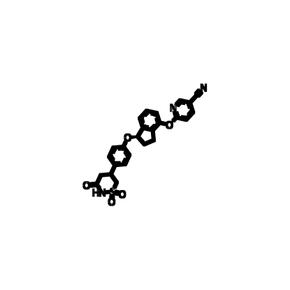 N#Cc1ccc(Oc2cccc3c2CC[C@H]3Oc2ccc(C3CC(=O)NS(=O)(=O)C3)cc2)nc1